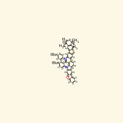 CC(C)(C)c1ccc(N2B3c4cc(C(C)(C)C)ccc4-n4c5cc6oc7ccccc7c6cc5c5ccc(c3c54)-c3cc4sc5cc6c(cc5c4cc32)C(C)(C)CCC6(C)C)cc1